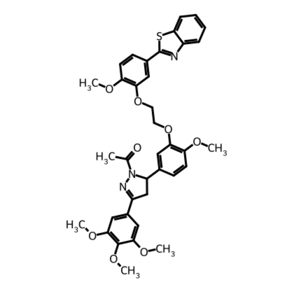 COc1ccc(-c2nc3ccccc3s2)cc1OCCOc1cc(C2CC(c3cc(OC)c(OC)c(OC)c3)=NN2C(C)=O)ccc1OC